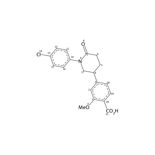 COc1cc(C2CCC(=O)N(c3ccc(Cl)cc3)C2)ccc1C(=O)O